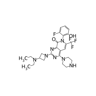 CCN(CC)C1CN(c2nc(N3CCNCC3)c3cc(C(F)(F)F)n(-c4c(O)cccc4F)c(=O)c3n2)C1